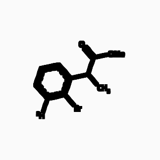 [2H]c1cccc(C(C)C(=O)OC)c1Br